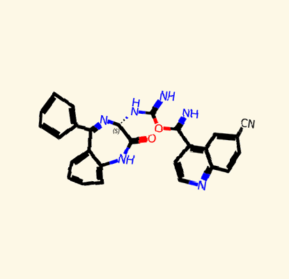 N#Cc1ccc2nccc(C(=N)OC(=N)N[C@H]3N=C(c4ccccc4)c4ccccc4NC3=O)c2c1